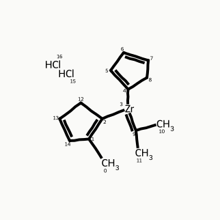 CC1=[C]([Zr]([C]2=CC=CC2)=[C](C)C)CC=C1.Cl.Cl